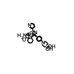 N#CC1(C2(C(N)=O)CCCCC2c2oc(-c3cccnc3)nc2-c2ccc(N3CCS(O)(O)CC3)cc2)CC1